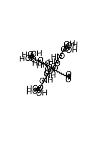 O=C(CCCCO[C@H]1C[C@@H](O)[C@@H](O)[C@@H](CO)O1)NCCCNC(=O)CCOCC(COCCC(=O)NCCCNC(=O)CCCCO[C@H]1C[C@@H](O)[C@@H](O)[C@@H](CO)O1)(COCCC(=O)NCCCNC(=O)CCCCO[C@H]1C[C@@H](O)[C@@H](O)[C@@H](CO)O1)NC(=O)CCCCCCCCCCCN1C(=O)C=CC1=O